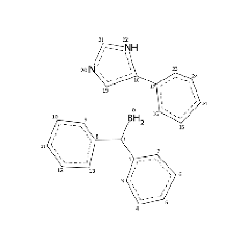 BC(c1ccccc1)c1ccccc1.c1ccc(-c2cnc[nH]2)cc1